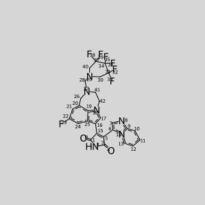 O=C1NC(=O)C(c2cnc3ccccn23)=C1c1cn2c3c(cc(F)cc13)CN(CN1CC(F)(F)C(F)(F)C(F)(F)C1)CC2